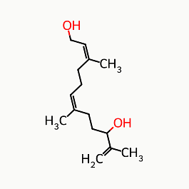 C=C(C)C(O)CC/C(C)=C\CC/C(C)=C\CO